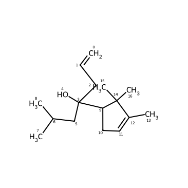 C=CCC(O)(CC(C)C)C1CC=C(C)C1(C)C